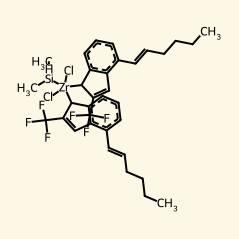 CCCCC=Cc1cccc2c1C=C(C(F)(F)F)[CH]2[Zr]([Cl])([Cl])([CH]1C(C(F)(F)F)=Cc2c(C=CCCCC)cccc21)[SiH](C)C